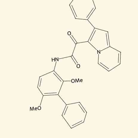 COc1ccc(NC(=O)C(=O)c2c(-c3ccccc3)cc3ccccn23)c(OC)c1-c1ccccc1